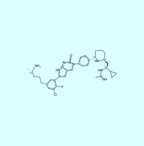 CC(=N)N[C@@H](C[C@@H]1CCC[C@@H](c2ccc(-n3cc4cc(-c5cc(CCC[C@H](C)N)cc(Cl)c5F)[nH]c4nc3=O)cc2)N1)C1CC1